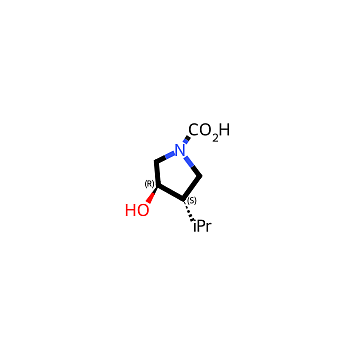 CC(C)[C@H]1CN(C(=O)O)C[C@@H]1O